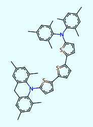 Cc1cc(C)c(N(c2ccc(-c3ccc(-c4ccc(N5c6c(C)cc(C)cc6Cc6cc(C)cc(C)c65)s4)s3)s2)c2c(C)cc(C)cc2C)c(C)c1